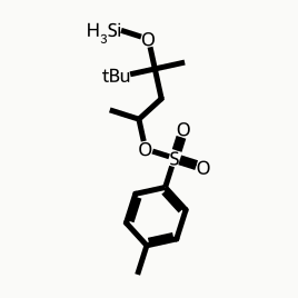 Cc1ccc(S(=O)(=O)OC(C)CC(C)(O[SiH3])C(C)(C)C)cc1